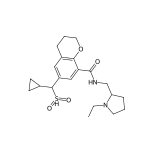 CCN1CCCC1CNC(=O)c1cc(C(C2CC2)[SH](=O)=O)cc2c1OCCC2